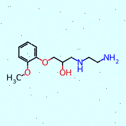 COc1ccccc1OCC(O)CNCCN